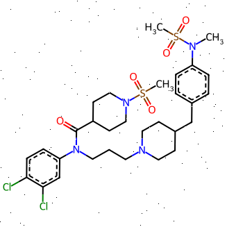 CN(c1ccc(CC2CCN(CCCN(C(=O)C3CCN(S(C)(=O)=O)CC3)c3ccc(Cl)c(Cl)c3)CC2)cc1)S(C)(=O)=O